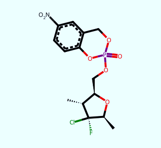 C[C@@H]1O[C@H](COP2(=O)OCc3cc([N+](=O)[O-])ccc3O2)[C@@H](C)[C@]1(F)Cl